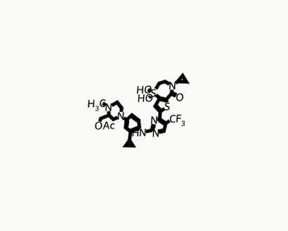 CC(=O)OCC1CN(c2ccc(Nc3ncc(C(F)(F)F)c(-c4cc5c(s4)C(=O)N(C4CC4)CCS5(O)O)n3)c(C3CC3)c2)CCN1C